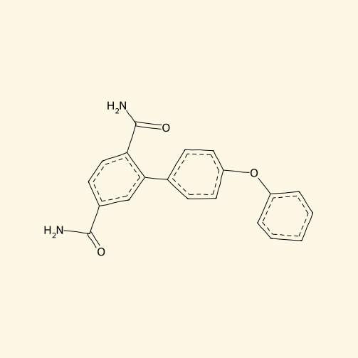 NC(=O)c1ccc(C(N)=O)c(-c2ccc(Oc3ccccc3)cc2)c1